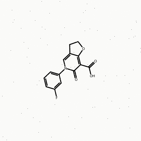 O=C(O)c1c2c(cn(-c3cccc(F)c3)c1=O)CCO2